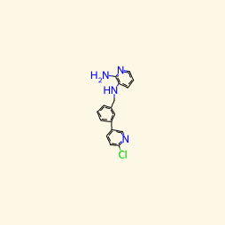 Nc1ncccc1NCc1cccc(-c2ccc(Cl)nc2)c1